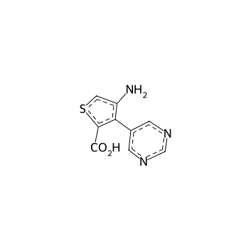 Nc1csc(C(=O)O)c1-c1cncnc1